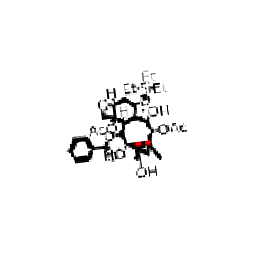 CC[Si](CC)(CC)O[C@H]1C[C@H]2OCC2(OC(C)=O)[C@H]2[C@H](OC(=O)c3ccccc3)[C@]3(O)C[C@H](O)C(C)C4(CC43C)[C@@H](OC(C)=O)[C@H](O)[C@]12C